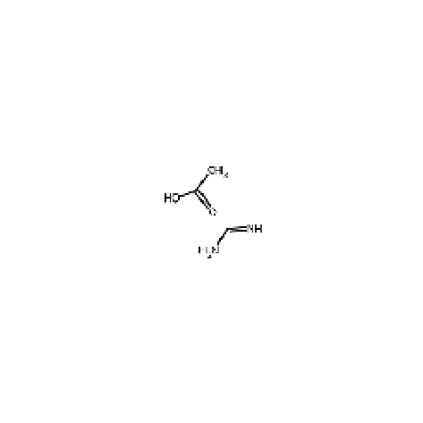 CC(=O)O.N=CN